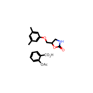 CC(=O)Oc1ccccc1C(=O)O.Cc1cc(C)cc(OCC2CNC(=O)O2)c1